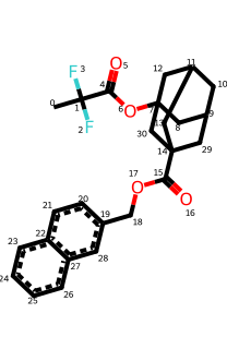 CC(F)(F)C(=O)OC12CC3CC(C1)CC(C(=O)OCc1ccc4ccccc4c1)(C3)C2